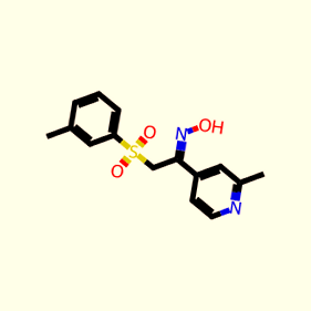 Cc1cccc(S(=O)(=O)CC(=NO)c2ccnc(C)c2)c1